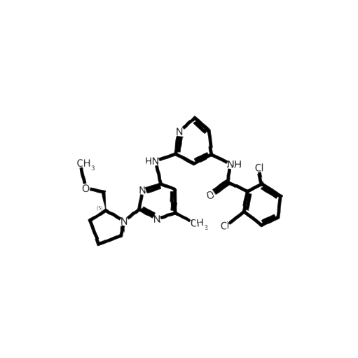 COC[C@@H]1CCCN1c1nc(C)cc(Nc2cc(NC(=O)c3c(Cl)cccc3Cl)ccn2)n1